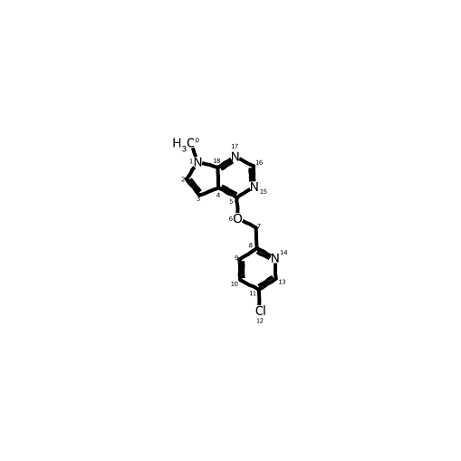 Cn1ccc2c(OCc3ccc(Cl)cn3)ncnc21